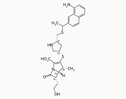 CC(SC[C@@H]1C[C@H](SC2=C(C(=O)O)N3C(=O)[C@@H](CCO)[C@H]3[C@H]2C)CN1)c1ccc2cccc(N)c2c1